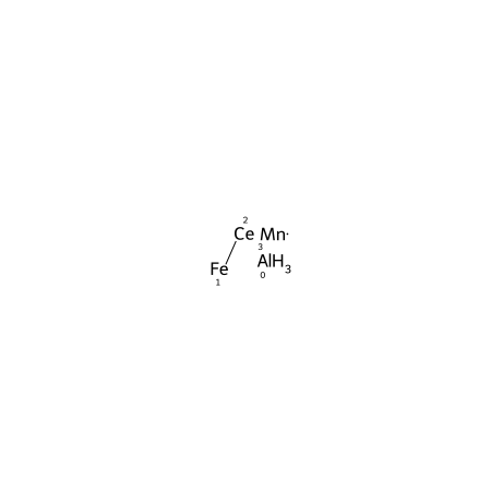 [AlH3].[Fe][Ce].[Mn]